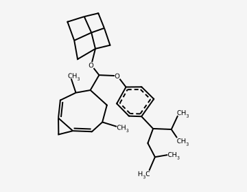 CC(C)CC(c1ccc(OC(OC23CC4CC5CC(C2)C543)C2CC(C)/C=C3/C/C3=C/C2C)cc1)C(C)C